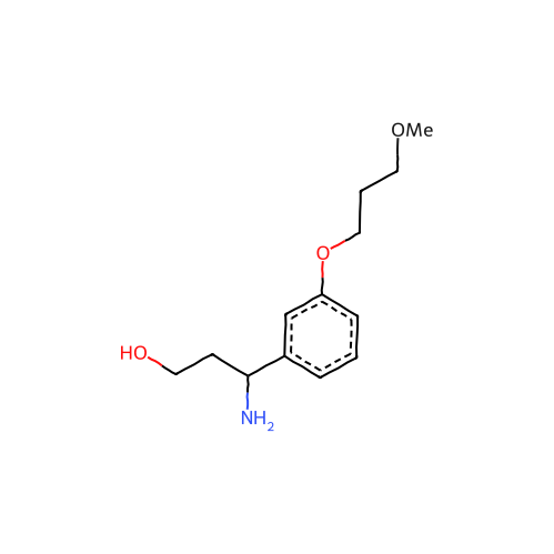 COCCCOc1cccc(C(N)CCO)c1